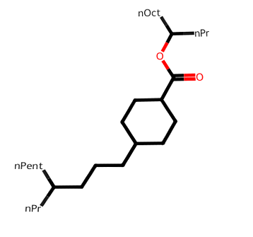 CCCCCCCCC(CCC)OC(=O)C1CCC(CCCC(CCC)CCCCC)CC1